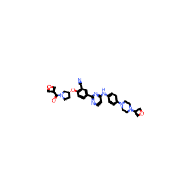 N#Cc1cc(-c2nccc(Nc3ccc(N4CCN(C5COC5)CC4)cc3)n2)ccc1O[C@@H]1CCN(C(=O)C2COC2)C1